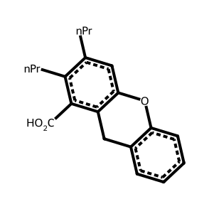 CCCc1cc2c(c(C(=O)O)c1CCC)Cc1ccccc1O2